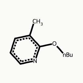 CCCCOc1ncccc1C